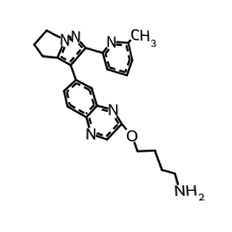 Cc1cccc(-c2nn3c(c2-c2ccc4ncc(OCCCCN)nc4c2)CCC3)n1